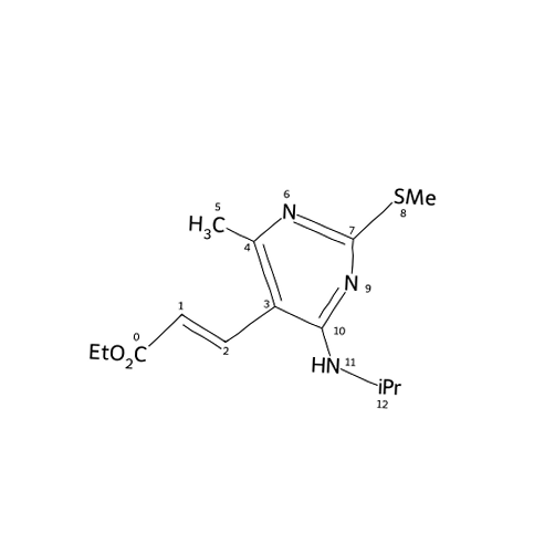 CCOC(=O)/C=C/c1c(C)nc(SC)nc1NC(C)C